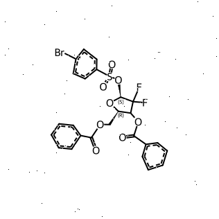 O=C(OC[C@H]1O[C@@H](OS(=O)(=O)c2ccc(Br)cc2)C(F)(F)C1OC(=O)c1ccccc1)c1ccccc1